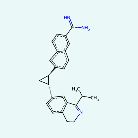 CC(C)C1=NCCc2ccc([C@@H]3C[C@H]3c3ccc4cc(C(=N)N)ccc4c3)cc21